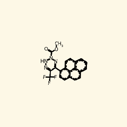 COC(=O)N1N=C(c2ccc3ccc4cccc5ccc2c3c45)C(C(F)(F)F)=NN1